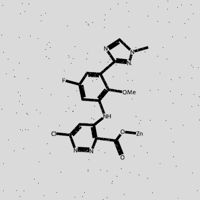 COc1c(Nc2cc(Cl)nnc2C(=O)[O][Zn])cc(F)cc1-c1ncn(C)n1